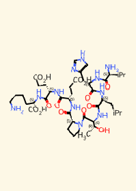 CC(C)C[C@H](NC(=O)[C@H](Cc1c[nH]cn1)NC(=O)[C@@H](N)C(C)C)C(=O)N[C@H](C(=O)N1CCC[C@H]1C(=O)N[C@@H](CCC(=O)O)C(=O)N[C@@H](CCC(=O)O)C(=O)N[C@@H](CCCCN)C(=O)O)[C@@H](C)O